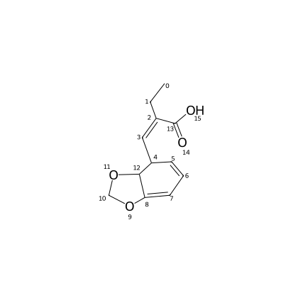 CCC(=CC1C=CC=C2OCOC21)C(=O)O